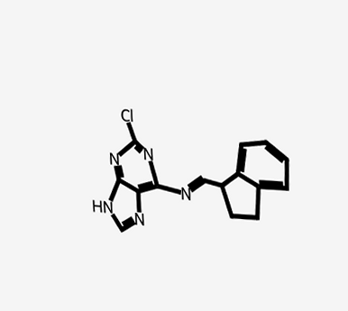 Clc1nc(/N=C/C2CCc3ccccc32)c2nc[nH]c2n1